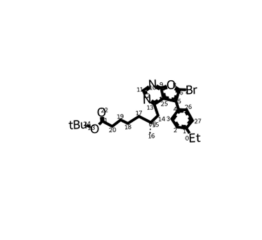 CCc1ccc(-c2c(Br)oc3ncnc(C[C@H](C)CCCCC(=O)OC(C)(C)C)c23)cc1